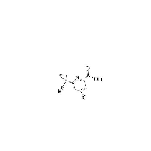 N#CC1(c2cc(Cl)cc(C(=O)O)n2)CC1